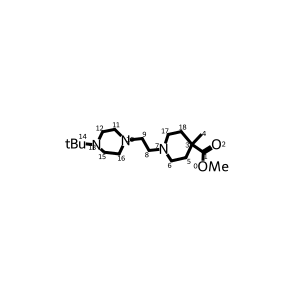 COC(=O)C1(C)CCN(CCN2CCN(C(C)(C)C)CC2)CC1